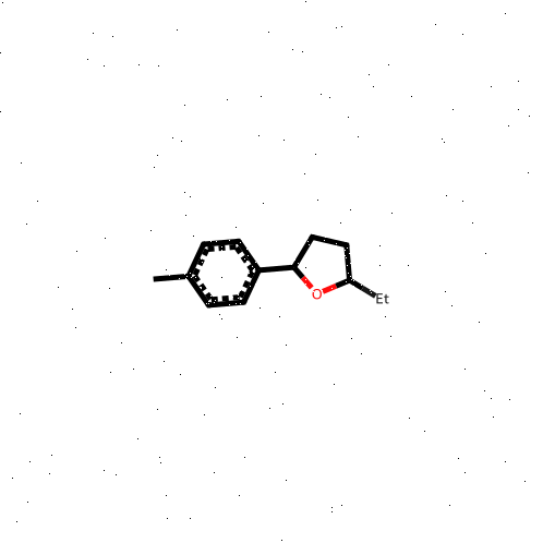 CCC1CCC(c2ccc(C)cc2)O1